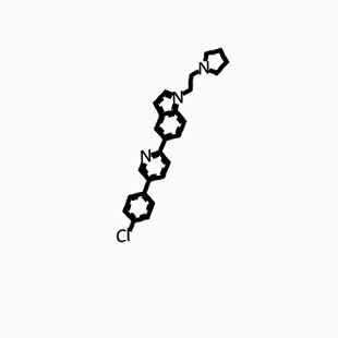 Clc1ccc(-c2ccc(-c3ccc4c(ccn4CCN4CCCC4)c3)nc2)cc1